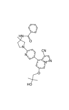 CC(C)(O)COc1cc(-c2ccc(N3CCC(C)(NC(=O)c4ccccc4)C3)nc2)c2c(C#N)cnn2c1